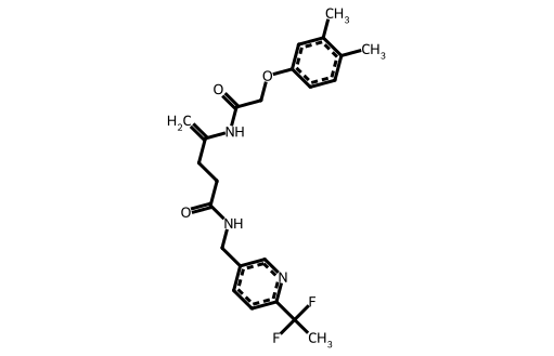 C=C(CCC(=O)NCc1ccc(C(C)(F)F)nc1)NC(=O)COc1ccc(C)c(C)c1